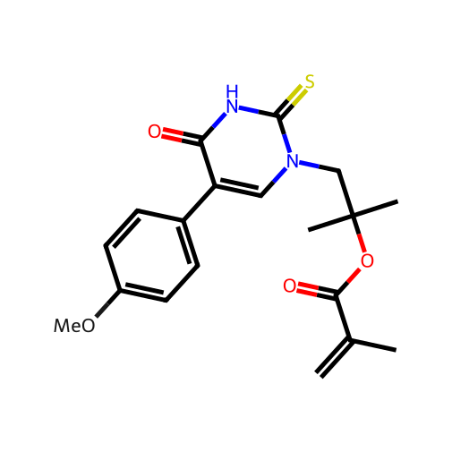 C=C(C)C(=O)OC(C)(C)Cn1cc(-c2ccc(OC)cc2)c(=O)[nH]c1=S